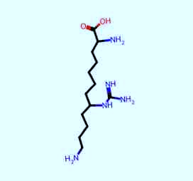 N=C(N)NC(CCCCN)CCCCCC(N)C(=O)O